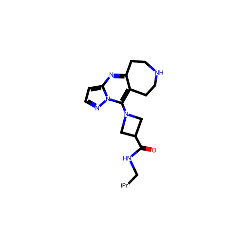 CC(C)CNC(=O)C1CN(c2c3c(nc4ccnn24)CCNCC3)C1